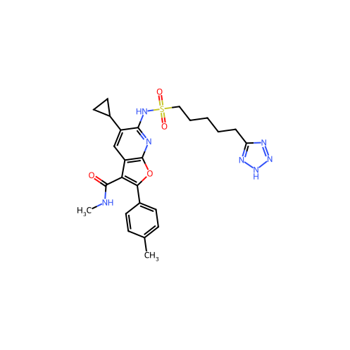 CNC(=O)c1c(-c2ccc(C)cc2)oc2nc(NS(=O)(=O)CCCCCc3nn[nH]n3)c(C3CC3)cc12